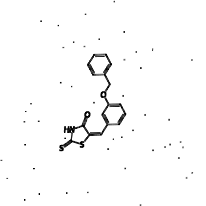 O=C1NC(=S)SC1=Cc1cccc(OCc2ccccc2)c1